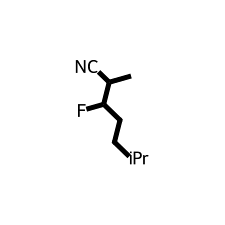 CC(C)CCC(F)C(C)C#N